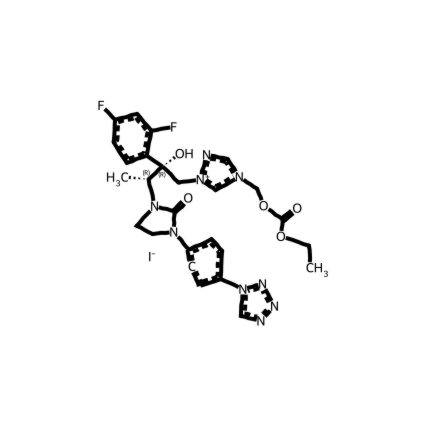 CCOC(=O)OCn1cn[n+](C[C@](O)(c2ccc(F)cc2F)[C@@H](C)N2CCN(c3ccc(-n4cnnn4)cc3)C2=O)c1.[I-]